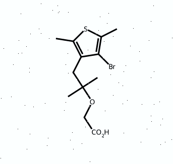 Cc1sc(C)c(CC(C)(C)OCC(=O)O)c1Br